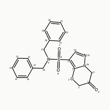 O=C1COc2c(S(=O)(=O)N(Cc3ccccc3)Cc3ccccc3)cnn2C1